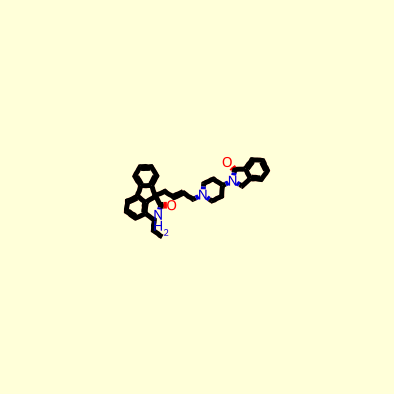 CCCc1cccc2c1C(CC=CCN1CCC(N3Cc4ccccc4C3=O)CC1)(C(N)=O)c1ccccc1-2